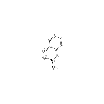 C=c1cccc/c1=C/N(C)C